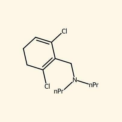 CCCN(CCC)CC1=C(Cl)CCC=C1Cl